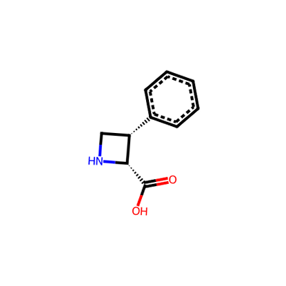 O=C(O)[C@@H]1NC[C@@H]1c1ccccc1